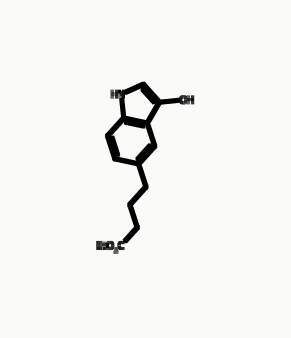 CCOC(=O)CCCc1ccc2[nH]cc(O)c2c1